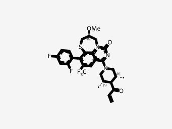 C=CC(=O)C1[C@H](C)CN(c2nc(=O)n3c4c(c(-c5ccc(F)cc5F)c(C(F)(F)F)cc24)SC[C@@H](OC)C3)C[C@@H]1C